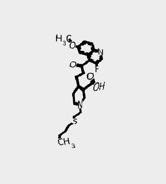 CCCCSCCN1CCC(CCC(=O)c2c(F)cnc3ccc(OC)cc23)C(C(=O)O)C1